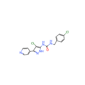 O=C(NCc1ccc(Cl)cc1)Nc1[nH]nc(-c2ccncc2)c1Cl